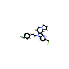 FCc1ccc2c(n1)c1c(n2CCc2ccc(Cl)cc2)CCN2CCCC12